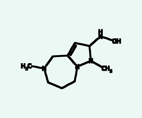 CN1CCCN2C(=CC(NO)N2C)C1